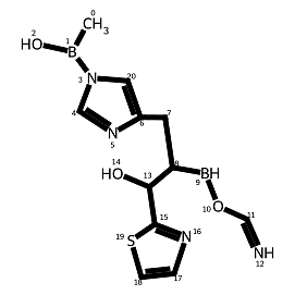 CB(O)n1cnc(CC(BOC=N)C(O)c2nccs2)c1